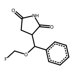 O=C1CC(C(OCF)c2ccccc2)C(=O)N1